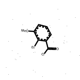 CCc1c(OC)cccc1C(=O)Cl